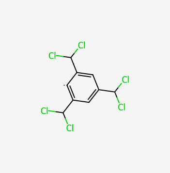 ClC(Cl)c1[c]c(C(Cl)Cl)cc(C(Cl)Cl)c1